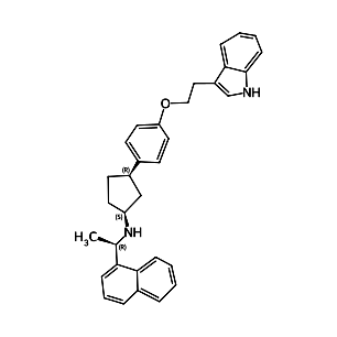 C[C@@H](N[C@H]1CC[C@@H](c2ccc(OCCc3c[nH]c4ccccc34)cc2)C1)c1cccc2ccccc12